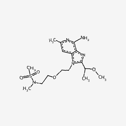 COC(C)c1nc2c(N)nc(C)cc2n1CCOCCN(C)S(C)(=O)=O